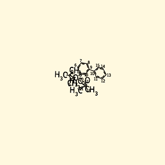 C[Si](C)(C)Oc1cccc(-c2ccccc2)c1O[Si](C)(C)C